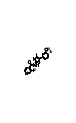 Cc1nc(NC(=O)c2ccncc2F)sc1-c1cccc(C(F)(F)F)c1